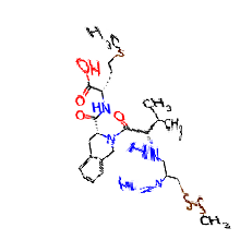 CSCC[C@H](NC(=O)[C@H]1Cc2ccccc2CN1C(=O)[C@@H](NCC(N)CSSC)C(C)C)C(=O)O